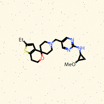 CCc1cc2c(s1)CCOC21CCN(Cc2cnc(NC3CC3OC)nc2)CC1